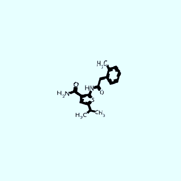 Cc1ccccc1CC(=O)Nc1sc(C(C)C)cc1C(N)=O